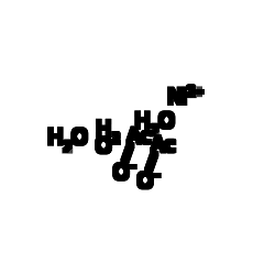 CC(=O)[O-].CC(=O)[O-].O.O.O.[Ni+2]